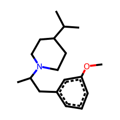 COc1cccc(CC(C)N2CCC(C(C)C)CC2)c1